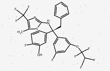 Cc1sc(N[C@](Cc2ccccc2)(c2cc(F)cc(OC(F)(F)C(F)F)c2)c2ccc(F)c(O)c2)nc1C(F)(F)F